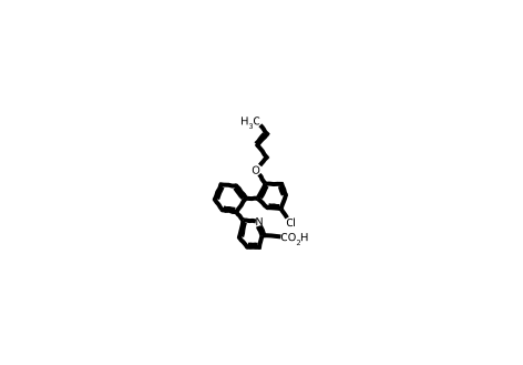 C/C=C/COc1ccc(Cl)cc1-c1ccccc1-c1cccc(C(=O)O)n1